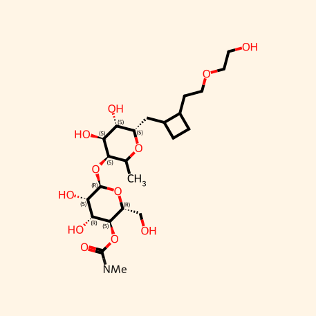 CNC(=O)O[C@H]1[C@H](O)[C@H](O)[C@@H](O[C@@H]2C(C)O[C@@H](CC3CCC3CCOCCO)[C@@H](O)[C@@H]2O)O[C@@H]1CO